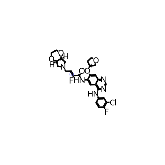 O=C(Nc1cc2c(Nc3ccc(F)c(Cl)c3)ncnc2cc1O[C@H]1CCOC1)/C(F)=C/CN1C[C@@H]2OCCO[C@@H]2C1